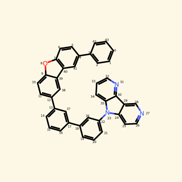 c1ccc(-c2ccc3oc4ccc(-c5cccc(-c6cccc(-n7c8ccncc8c8ncccc87)c6)c5)cc4c3c2)cc1